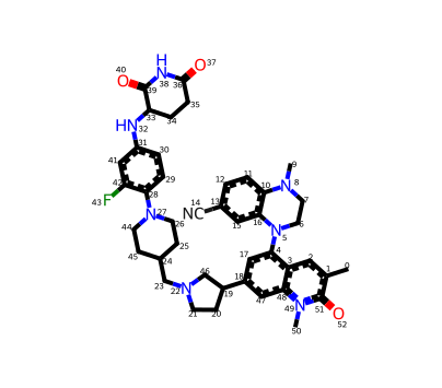 Cc1cc2c(N3CCN(C)c4ccc(C#N)cc43)cc(C3CCN(CC4CCN(c5ccc(NC6CCC(=O)NC6=O)cc5F)CC4)C3)cc2n(C)c1=O